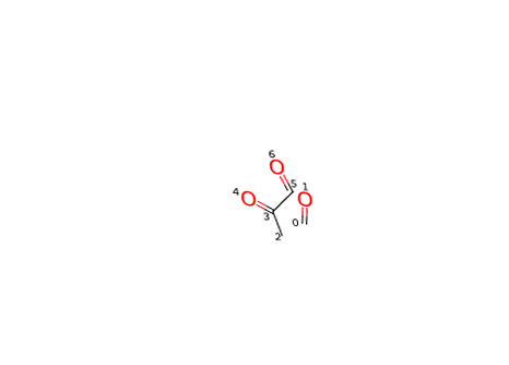 C=O.CC(=O)C=O